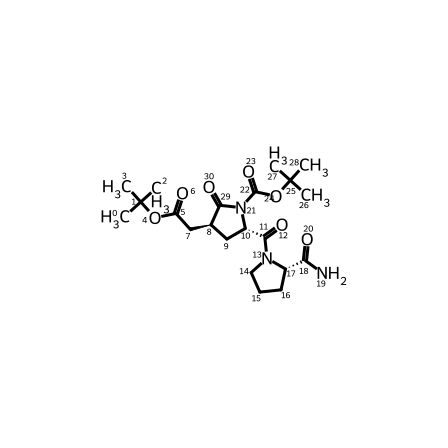 CC(C)(C)OC(=O)C[C@@H]1C[C@@H](C(=O)N2CCC[C@H]2C(N)=O)N(C(=O)OC(C)(C)C)C1=O